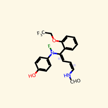 O=CN/C=C\C=C(/c1ccccc1OCC(F)(F)F)N(F)c1ccc(O)cc1